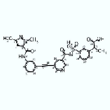 Cc1cc(C(=O)Nc2cccc(C#Cc3cncc(C(=O)N=S(C)(=O)c4cccc(C(C)C(=O)O)c4)c3)c2)n(C)n1